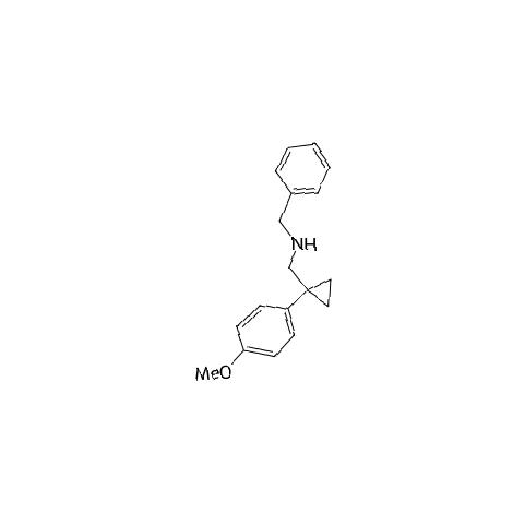 COc1ccc(C2(CNCc3ccccc3)CC2)cc1